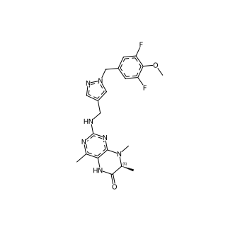 COc1c(F)cc(Cn2cc(CNc3nc(C)c4c(n3)N(C)[C@@H](C)C(=O)N4)cn2)cc1F